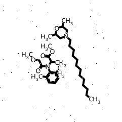 CCCCCCCCCCCCCN1CC(C)OC(C)C1.COCC(=O)N(c1c(C)cccc1C)C(C)C(=O)OC